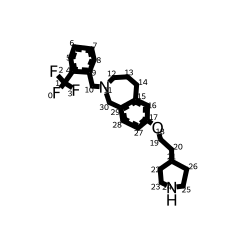 FC(F)(F)c1ccccc1CN1CCCc2cc(OCCC3CCNCC3)ccc2C1